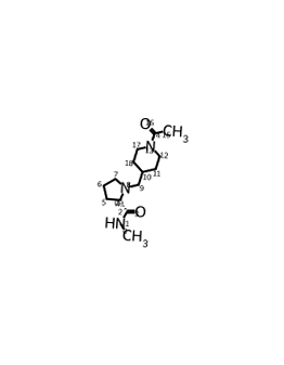 CNC(=O)[C@@H]1CCCN1CC1CCN(C(C)=O)CC1